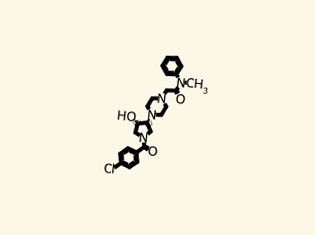 CN(C(=O)CN1CCN([C@H]2CN(C(=O)c3ccc(Cl)cc3)C[C@@H]2O)CC1)c1ccccc1